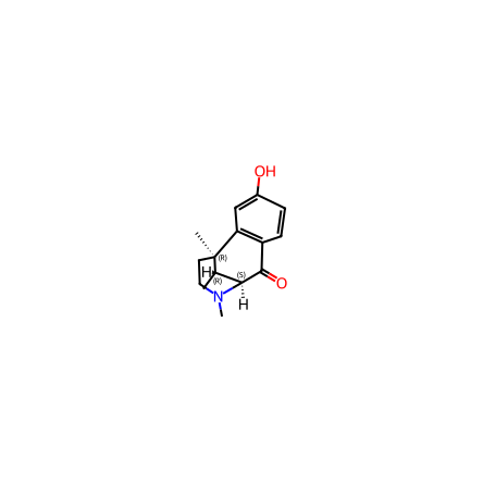 C[C@H]1[C@H]2C(=O)c3ccc(O)cc3[C@]1(C)CCN2C